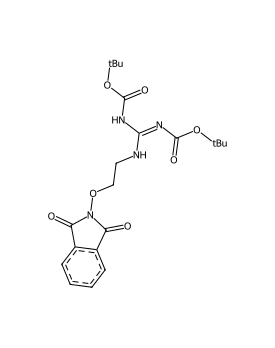 CC(C)(C)OC(=O)/N=C(\NCCON1C(=O)c2ccccc2C1=O)NC(=O)OC(C)(C)C